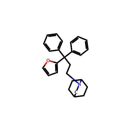 c1ccc(C(CCN2CC3CCC2CC3)(c2ccccc2)c2ccco2)cc1